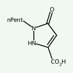 CCCCCn1[nH]c(C(=O)O)cc1=O